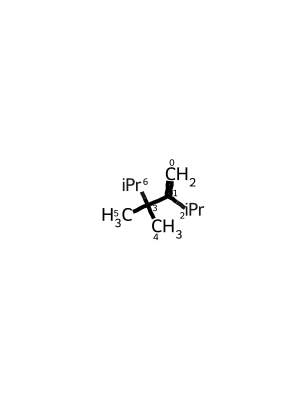 C=C(C(C)C)C(C)(C)C(C)C